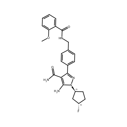 COc1ccccc1C(=O)NCc1ccc(-c2nn([C@H]3CC[C@H](F)C3)c(N)c2C(N)=O)cc1